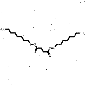 CCCCCCCCSOC(=O)CCC(=O)OSCCCCCCCC